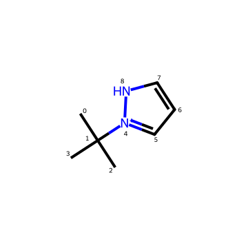 CC(C)(C)[n+]1ccc[nH]1